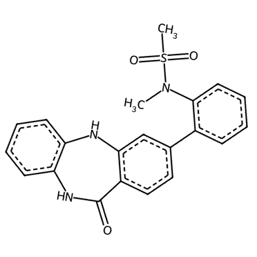 CN(c1ccccc1-c1ccc2c(c1)Nc1ccccc1NC2=O)S(C)(=O)=O